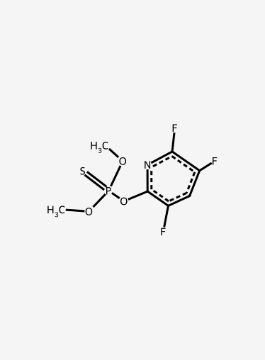 COP(=S)(OC)Oc1nc(F)c(F)cc1F